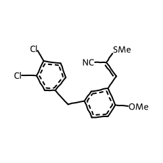 COc1ccc(Cc2ccc(Cl)c(Cl)c2)cc1/C=C(\C#N)SC